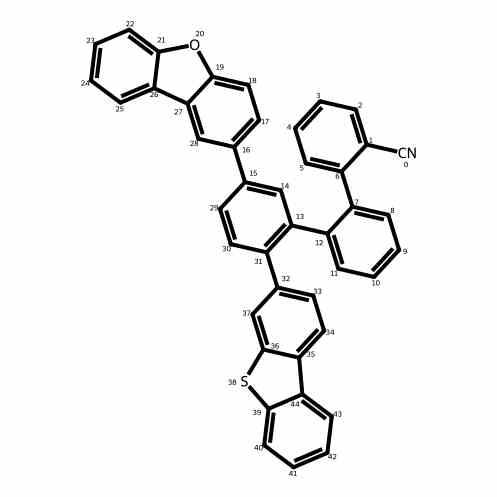 N#Cc1ccccc1-c1ccccc1-c1cc(-c2ccc3oc4ccccc4c3c2)ccc1-c1ccc2c(c1)sc1ccccc12